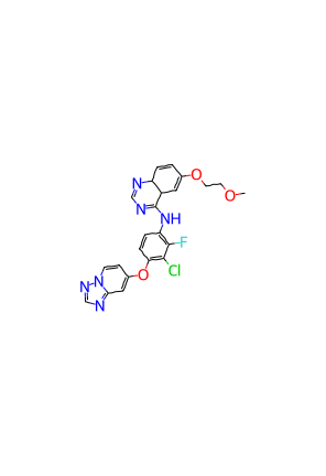 COCCOC1=CC2C(Nc3ccc(Oc4ccn5ncnc5c4)c(Cl)c3F)=NC=NC2C=C1